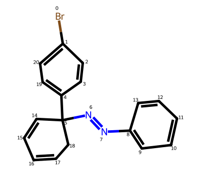 Brc1ccc(C2(N=Nc3ccccc3)C=CC=CC2)cc1